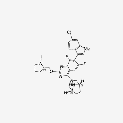 CN1CCC[C@H]1COc1nc(N2C[C@H]3CC[C@@H](C2)N3)c2cc(F)c(-c3c[nH]c4cc(Cl)ccc34)c(F)c2n1